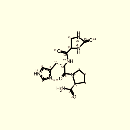 NC(=O)[C@@H]1CCCN1C(=O)[C@H](Cc1c[nH]cn1)NC(=O)C1CNC(=O)N1